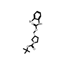 CC(C)(C)OC(=O)N1CC[C@@H](COC(=O)Nc2ccccc2Br)C1